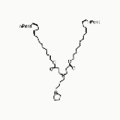 CCCCC/C=C\C/C=C\CCCCCCCCOC(=O)CCN(CCCCN1CCCC1)CCC(=O)OCCCCCCCC/C=C\C/C=C\CCCCC